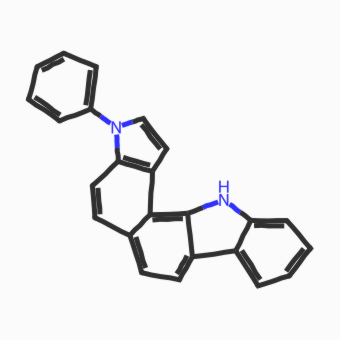 c1ccc(-n2ccc3c4c(ccc5c6ccccc6[nH]c54)ccc32)cc1